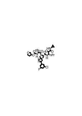 CCC[C@H](NC(=O)[C@@H]1C[C@]2(CC(c3cc(F)cc(Cl)c3)=NO2)CN1C(=O)[C@@H](NC(=O)O[C@H]1CCOC1)C(C)(C)C)C(=O)C(=O)NC1CC1